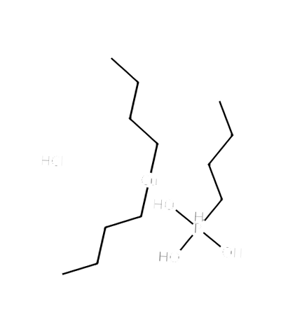 CCCC[PH](O)(O)O.CCC[CH2][Cu][CH2]CCC.Cl